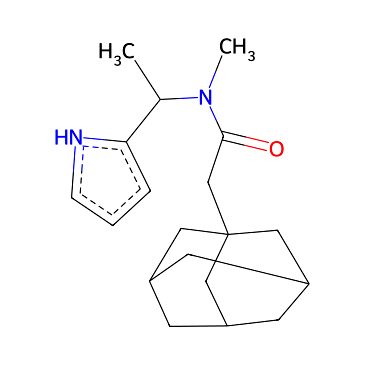 CC(c1ccc[nH]1)N(C)C(=O)CC12CC3CC(CC(C3)C1)C2